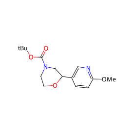 COc1ccc(C2CN(C(=O)OC(C)(C)C)CCO2)cn1